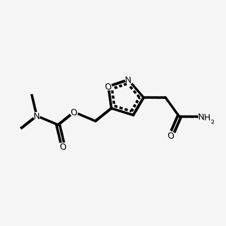 CN(C)C(=O)OCc1cc(CC(N)=O)no1